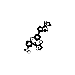 C[S+]([O-])c1ccc(Oc2cc(OC3CCOC3=O)cc(-c3ccc(C4=NCCO4)[nH]3)c2)cc1